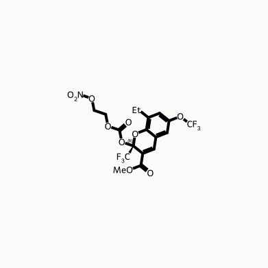 CCc1cc(OC(F)(F)F)cc2c1O[C@](OC(=O)OCCO[N+](=O)[O-])(C(F)(F)F)C(C(=O)OC)=C2